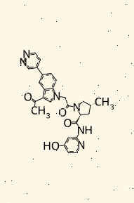 CC(=O)c1cn(CC(=O)N2C[C@H](C)C[C@H]2C(=O)Nc2cc(O)ccn2)c2ccc(-c3ccnnc3)cc12